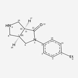 CCc1ccc(N2C[C@H]3CNC[C@H]3C2=O)cc1